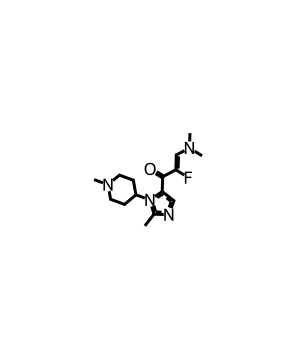 Cc1ncc(C(=O)/C(F)=C/N(C)C)n1C1CCN(C)CC1